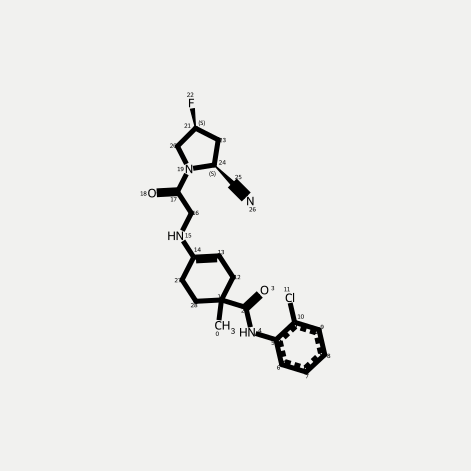 CC1(C(=O)Nc2ccccc2Cl)CC=C(NCC(=O)N2C[C@@H](F)C[C@H]2C#N)CC1